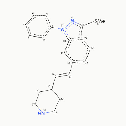 CSc1nn(-c2ccccc2)c2cc(C=CC3CCNCC3)ccc12